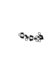 O=C(CN1CCOCC1)N1CCN(C(=O)ON2C(=O)CCC2=O)CC1